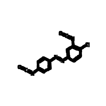 O=C=Nc1ccc(N=Nc2ccc(Cl)c(N=C=O)c2)cc1